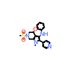 Cn1c2c(c(Nc3ccccc3)c1-c1ccncc1)C(=O)CN(S(C)(=O)=O)C2